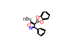 CCCCc1onc(-c2ccccc2)c1B1Oc2ccccc2O1